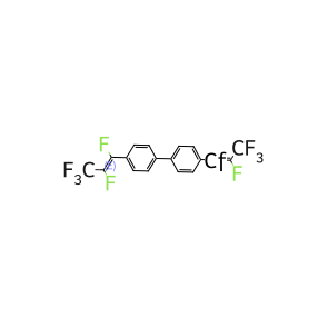 F[C](=[Cf][c]1ccc(-c2ccc(/C(F)=C(\F)C(F)(F)F)cc2)cc1)C(F)(F)F